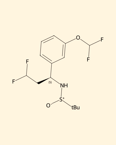 CC(C)(C)[S+]([O-])N[C@@H](CC(F)F)c1cccc(OC(F)F)c1